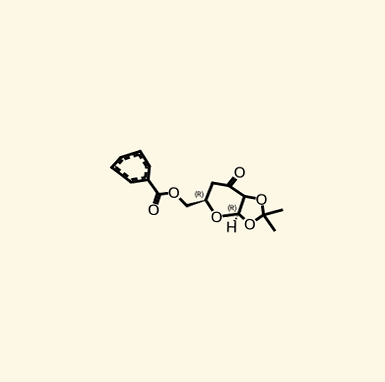 CC1(C)OC2C(=O)C[C@H](COC(=O)c3ccccc3)O[C@@H]2O1